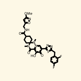 COc1cc(CNC(=O)C2CCC3(CC2)N(C)C(=O)c2c(O)c(=O)c(-c4nnc(Cc5ccc(F)cc5F)s4)cn2N3C)on1